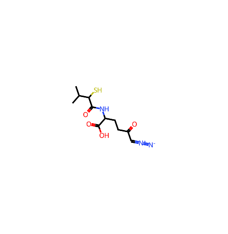 CC(C)C(S)C(=O)NC(CCC(=O)C=[N+]=[N-])C(=O)O